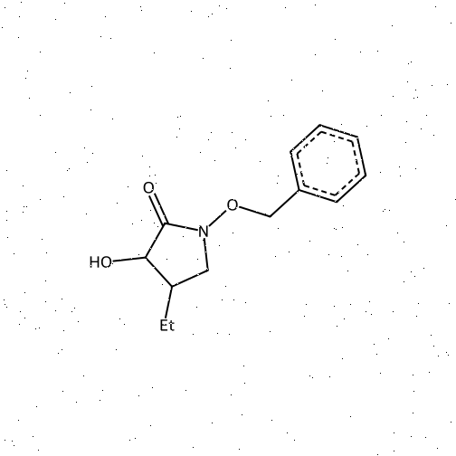 CCC1CN(OCc2ccccc2)C(=O)C1O